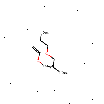 C=COCCCCCCC.CCCCCCCCCCCCOCCCCCCCCCCCC